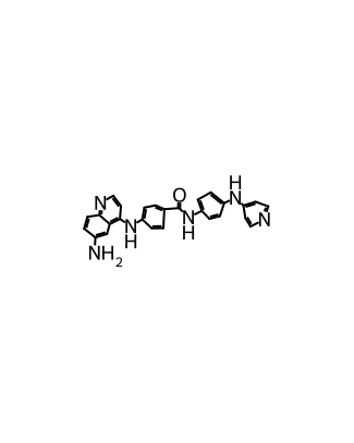 Nc1ccc2nccc(Nc3ccc(C(=O)Nc4ccc(Nc5ccncc5)cc4)cc3)c2c1